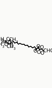 CC1(C)C(=O)N(CCCCCCCCCCCCCC(=O)C(=O)C(=O)C(=O)C(=O)C=O)C(C)(C)N1Br